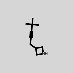 CC(C)(C)C#CCC1CNC1